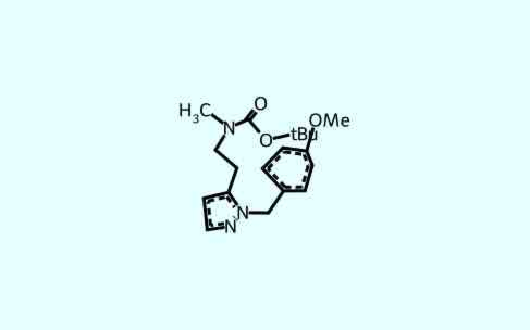 COc1ccc(Cn2nccc2CCN(C)C(=O)OC(C)(C)C)cc1